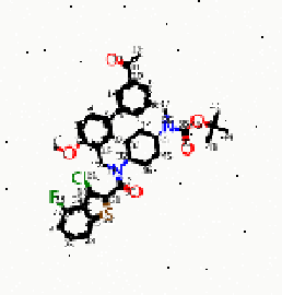 COc1ccc(-c2cccc(C(C)=O)c2)cc1CN(C(=O)c1sc2cccc(F)c2c1Cl)[C@H]1CC[C@H](N(C)C(=O)OC(C)(C)C)CC1